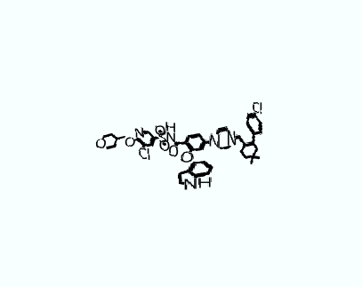 CC1(C)CCC(CN2CCN(c3ccc(C(=O)NS(=O)(=O)c4cnc(OCC5CCOCC5)c(Cl)c4)c(Oc4cccc5[nH]ccc45)c3)CC2)=C(c2ccc(Cl)cc2)C1